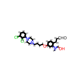 CN(CO)c1cc(OCCCCN2CCN(c3cccc(Cl)c3Cl)CC2)ccc1CCC=O